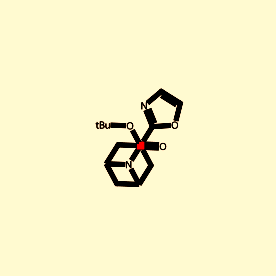 CC(C)(C)OC(=O)N1C2CC1CN(c1ncco1)C2